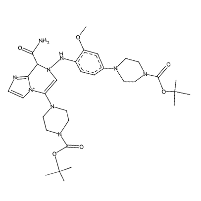 COc1cc(N2CCN(C(=O)OC(C)(C)C)CC2)ccc1NN1C=C(N2CCN(C(=O)OC(C)(C)C)CC2)[N+]2C=CN=C2C1C(N)=O